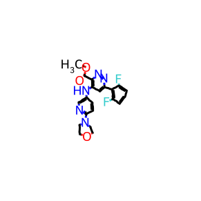 COC(=O)c1nnc(-c2c(F)cccc2F)cc1Nc1ccc(N2CCOCC2)nc1